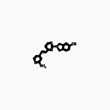 N#Cc1ccc2c(c1)CN(c1nccc(/C=C/c3ccnc(N)c3)n1)C2